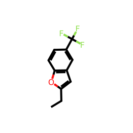 CCc1cc2cc(C(F)(F)F)ccc2o1